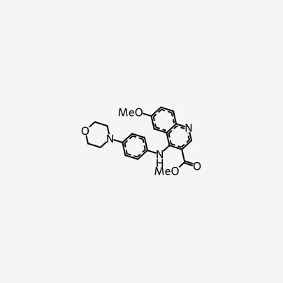 COC(=O)c1cnc2ccc(OC)cc2c1Nc1ccc(N2CCOCC2)cc1